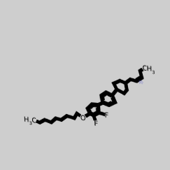 CC/C=C\CC1CCC(c2ccc(-c3ccc(OCCCCCCCCC)c(F)c3F)cc2)CC1